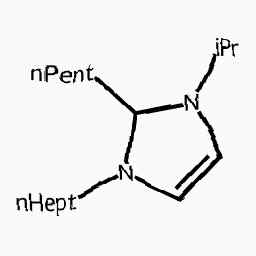 CCCCCCCN1C=CN(C(C)C)C1CCCCC